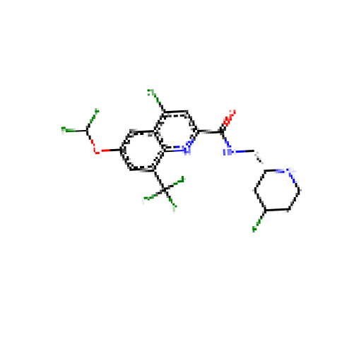 O=C(NC[C@H]1CC(F)CCN1)c1cc(Cl)c2cc(OC(F)F)cc(C(F)(F)F)c2n1